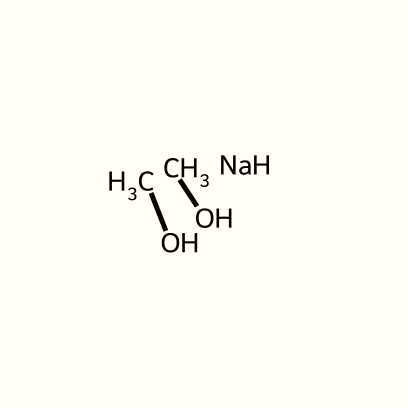 CO.CO.[NaH]